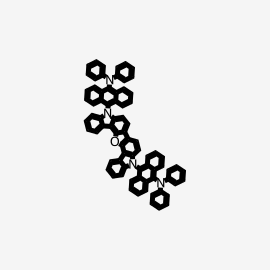 c1ccc(N(c2ccccc2)c2c3ccccc3c(-n3c4ccccc4c4c5oc6c(ccc7c6c6ccccc6n7-c6c7ccccc7c(N(c7ccccc7)c7ccccc7)c7ccccc67)c5ccc43)c3ccccc23)cc1